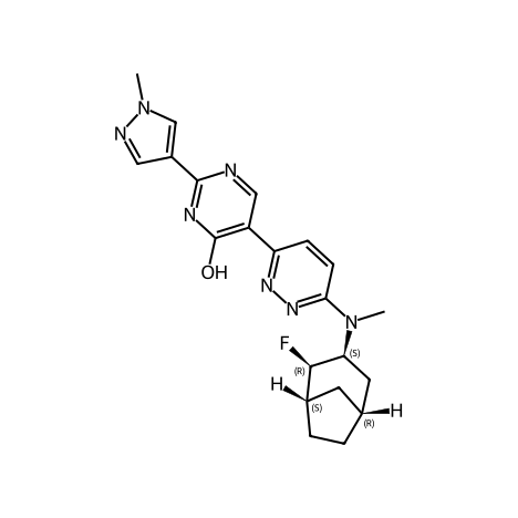 CN(c1ccc(-c2cnc(-c3cnn(C)c3)nc2O)nn1)[C@H]1C[C@@H]2CC[C@@H](C2)[C@H]1F